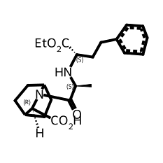 CCOC(=O)[C@H](CCc1ccccc1)N[C@@H](C)C(=O)N1C2CCC(CC2)[C@@H]1C(=O)O